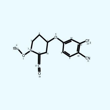 CC(C)(C)ON1CCC(Oc2ccc(C#N)c(C(F)(F)F)c2)CC1=C=O